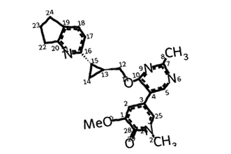 COc1cc(-c2cnc(C)nc2OC[C@H]2C[C@@H]2c2ccc3c(n2)CCC3)cn(C)c1=O